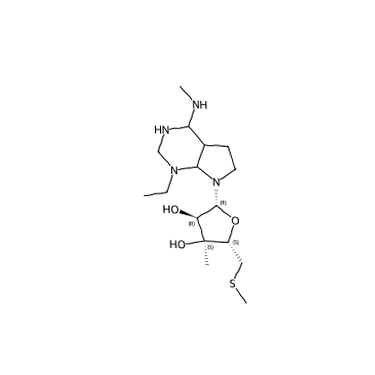 CCN1CNC(NC)C2CCN([C@@H]3O[C@H](CSC)[C@@](C)(O)[C@H]3O)C21